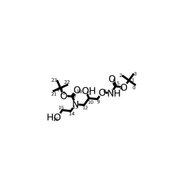 CC(C)(C)OC(=O)NOCC(O)CN(CCO)C(=O)OC(C)(C)C